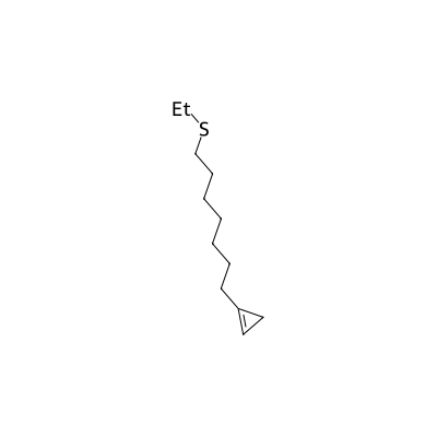 CCSCCCCCCCC1=CC1